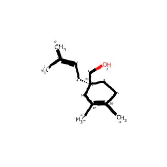 CC(C)=CC[C@]1(CO)CCC(C)=C(C)C1